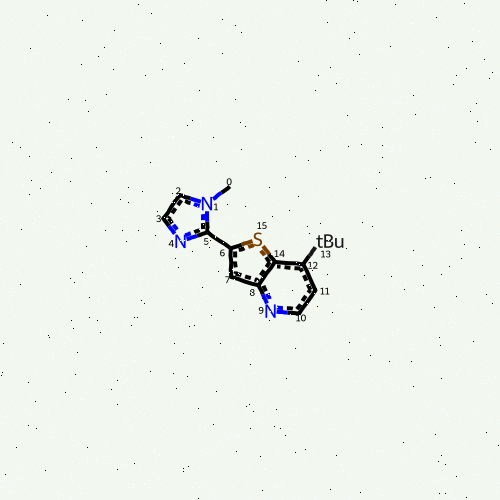 Cn1ccnc1-c1cc2nccc(C(C)(C)C)c2s1